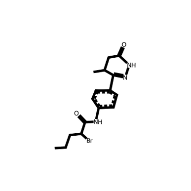 CCCC(Br)C(=O)Nc1ccc(C2=NNC(=O)CC2C)cc1